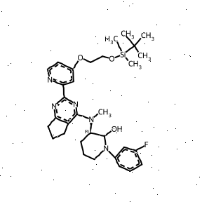 CN(c1nc(-c2cc(OCCO[Si](C)(C)C(C)(C)C)ccn2)nc2c1CCC2)[C@@H]1CCCN(c2cccc(F)c2)C1O